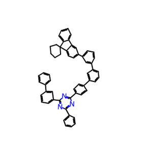 c1ccc(-c2cccc(-c3nc(-c4ccccc4)nc(-c4ccc(-c5cccc(-c6cccc(-c7ccc8c(c7)-c7ccccc7C87CCCCC7)c6)c5)cc4)n3)c2)cc1